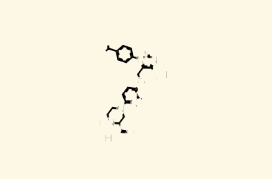 Cc1nnn(-c2ccc(C(F)F)cc2)c1COc1ccc(N2CCN[C@H](C(=O)O)C2)nn1